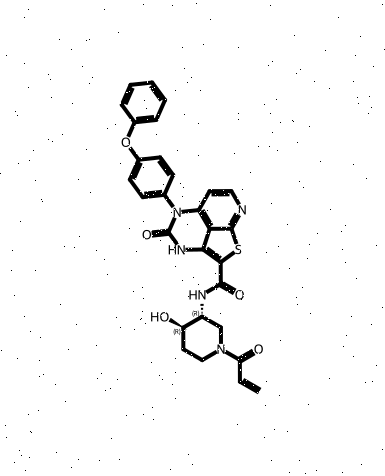 C=CC(=O)N1CC[C@@H](O)[C@H](NC(=O)c2sc3nccc4c3c2NC(=O)N4c2ccc(Oc3ccccc3)cc2)C1